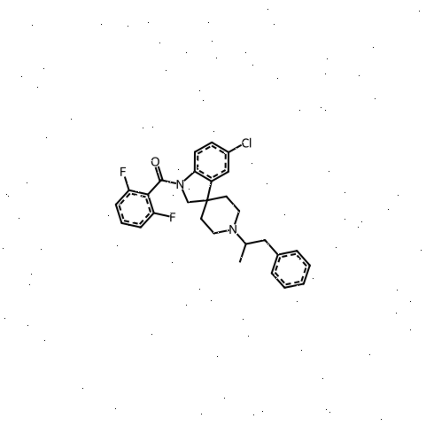 CC(Cc1ccccc1)N1CCC2(CC1)CN(C(=O)c1c(F)cccc1F)c1ccc(Cl)cc12